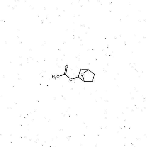 CC(=O)OC1CC2CCC1O2